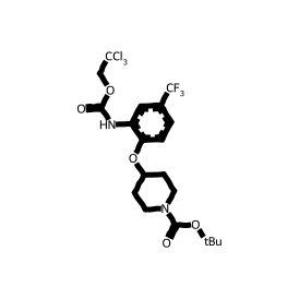 CC(C)(C)OC(=O)N1CCC(Oc2ccc(C(F)(F)F)cc2NC(=O)OCC(Cl)(Cl)Cl)CC1